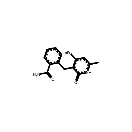 CCCc1cc(C)[nH]c(=O)c1Cc1ccccc1C(N)=O